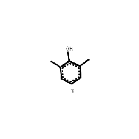 Cc1cccc(C)c1O.[Ti]